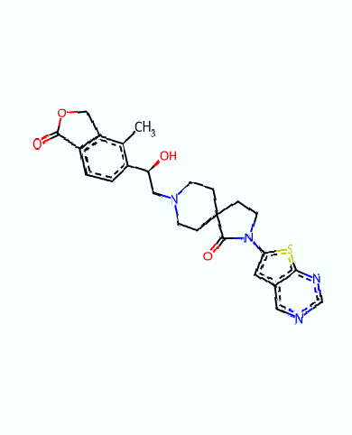 Cc1c([C@@H](O)CN2CCC3(CC2)CCN(c2cc4cncnc4s2)C3=O)ccc2c1COC2=O